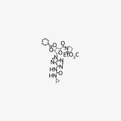 CCOC(=O)[C@@H]1CCCN1C(=O)C1OC(n2cnc3c(NC(=O)NC4CC4)ncnc32)C2O[C@@H](c3ccccc3)OC12